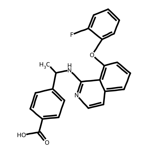 CC(Nc1nccc2cccc(Oc3ccccc3F)c12)c1ccc(C(=O)O)cc1